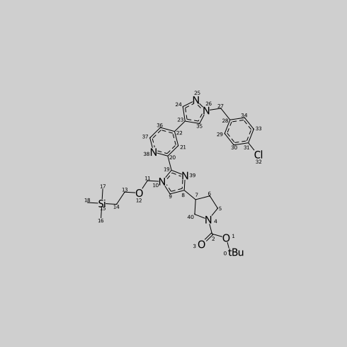 CC(C)(C)OC(=O)N1CCC(c2cn(COCC[Si](C)(C)C)c(-c3cc(-c4cnn(Cc5ccc(Cl)cc5)c4)ccn3)n2)C1